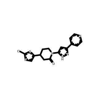 O=C1CC(c2cnc(Cl)s2)CCN1c1cc(-c2ccncc2)n[nH]1